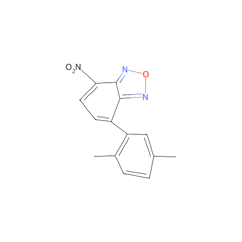 Cc1ccc(C)c(-c2ccc([N+](=O)[O-])c3nonc23)c1